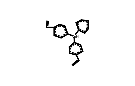 C=Cc1ccc([SiH](c2ccccc2)c2ccc(C=C)cc2)cc1